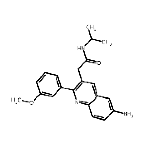 Bc1ccc2nc(-c3cccc(OC)c3)c(CC(=O)NC(C)C)cc2c1